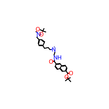 CN(CCCc1ccc(CN(C=O)OC(C)(C)C)cc1)CCNC(=O)c1ccc2cc(C(=O)OC(C)(C)C)ccc2c1